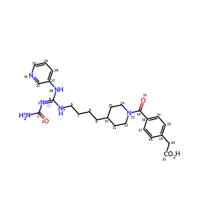 NC(=O)/N=C(\NCCCCC1CCN(C(=O)c2ccc(CC(=O)O)cc2)CC1)Nc1cccnc1